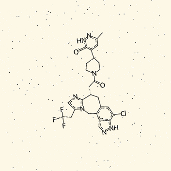 Cc1cc(C2CCN(C(=O)C[C@@H]3Cc4cc(Cl)c5[nH]ncc5c4Cn4c(CC(F)(F)F)cnc43)CC2)c(=O)[nH]n1